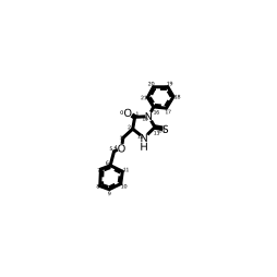 O=C1C(COCc2ccccc2)NC(=S)N1c1ccccc1